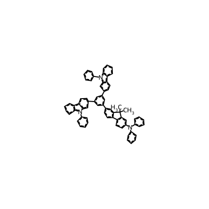 CC1(C)c2cc(-c3cc(-c4ccc5c6ccccc6n(-c6ccccc6)c5c4)cc(-c4ccc5c6ccccc6n(-c6ccccc6)c5c4)c3)ccc2-c2ccc(N(c3ccccc3)c3ccccc3)cc21